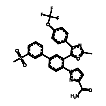 Cc1nc(-c2ccc(OC(F)(F)F)cc2)c(-c2cc(-c3cccc(S(C)(=O)=O)c3)ccc2-n2ccc(C(N)=O)n2)o1